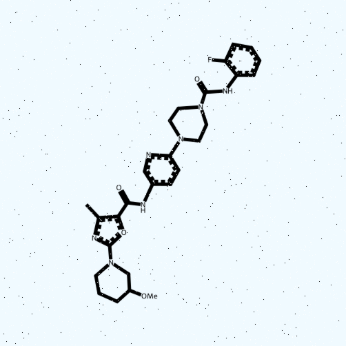 COC1CCCN(c2nc(C)c(C(=O)Nc3ccc(N4CCN(C(=O)Nc5ccccc5F)CC4)nc3)o2)C1